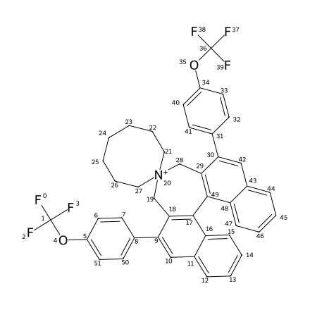 FC(F)(F)Oc1ccc(-c2cc3ccccc3c3c2C[N+]2(CCCCCCC2)Cc2c(-c4ccc(OC(F)(F)F)cc4)cc4ccccc4c2-3)cc1